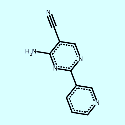 N#Cc1cnc(-c2cccnc2)nc1N